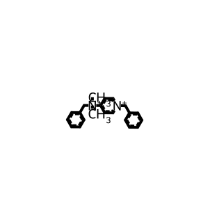 C[N+](C)(Cc1ccccc1)c1cc[n+](Cc2ccccc2)cc1